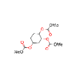 COC(=O)OC1CCC(OC(=O)OC)C(OC(=O)OC)C1